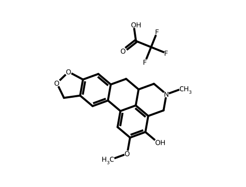 COc1cc2c3c(c1O)CN(C)CC3Cc1cc3c(cc1-2)COO3.O=C(O)C(F)(F)F